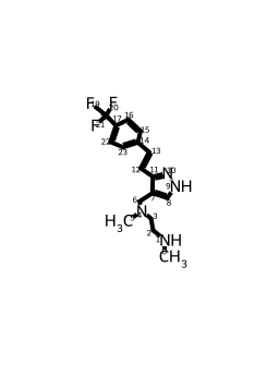 CNCCN(C)Cc1c[nH]nc1/C=C/c1ccc(C(F)(F)F)cc1